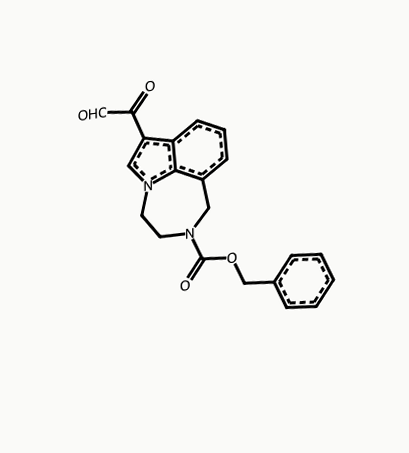 O=CC(=O)c1cn2c3c(cccc13)CN(C(=O)OCc1ccccc1)CC2